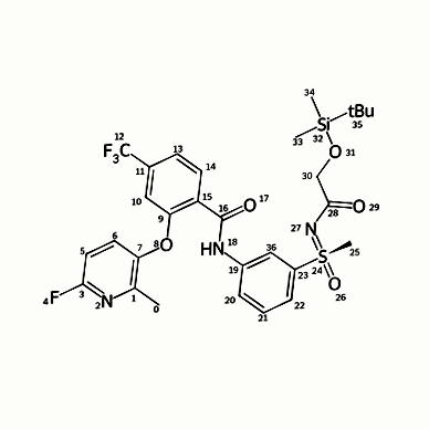 Cc1nc(F)ccc1Oc1cc(C(F)(F)F)ccc1C(=O)Nc1cccc([S@@](C)(=O)=NC(=O)CO[Si](C)(C)C(C)(C)C)c1